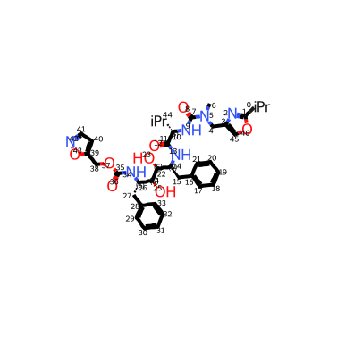 CC(C)c1nc(CN(C)C(=O)N[C@H](C(=O)N[C@@H](Cc2ccccc2)[C@H](O)[C@@H](O)[C@H](Cc2ccccc2)NC(=O)OCc2ccno2)C(C)C)co1